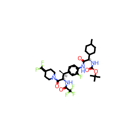 CC1CCC([C@H](NC(=O)OC(C)(C)C)C(=O)Nc2ccc([C@H](C)[C@@H](NC(=O)C(F)(F)F)C(=O)N3CCC(=C(F)F)CC3)cc2F)CC1